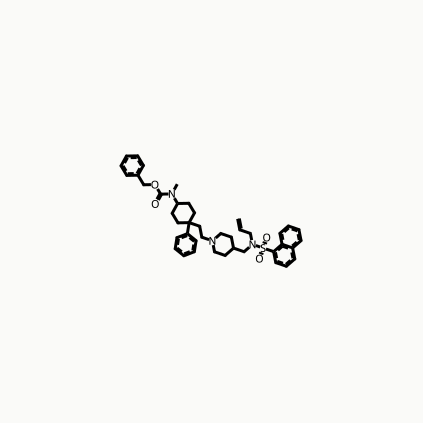 C=CCN(CC1CCN(CCC2(c3ccccc3)CCC(N(C)C(=O)OCc3ccccc3)CC2)CC1)S(=O)(=O)c1cccc2ccccc12